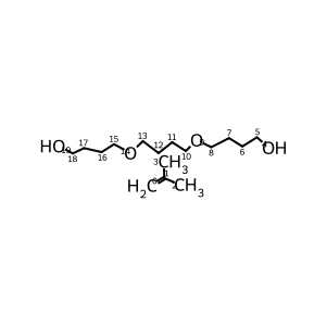 C=C(C)C.OCCCCOCCCCOCCCCO